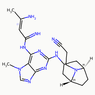 C/C(N)=C/C(=N)Nc1nc(NC2C[C@H]3CC[C@H](C2)N3CCC#N)nc2ncn(C)c12